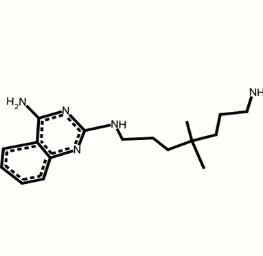 CC(C)(CCCN)CCCNc1nc(N)c2ccccc2n1